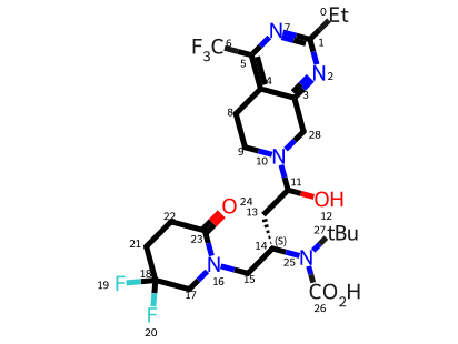 CCc1nc2c(c(C(F)(F)F)n1)CCN(C(O)C[C@@H](CN1CC(F)(F)CCC1=O)N(C(=O)O)C(C)(C)C)C2